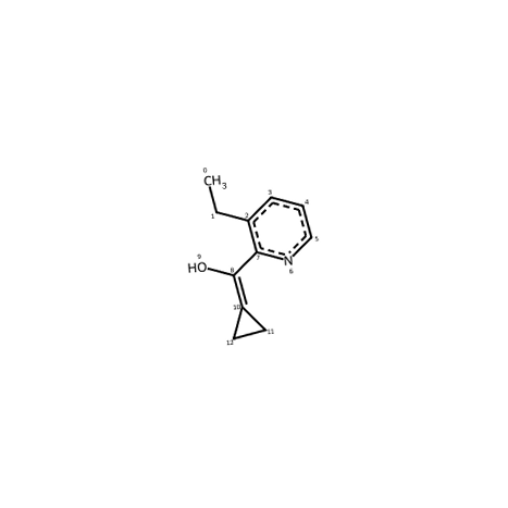 CCc1cccnc1C(O)=C1CC1